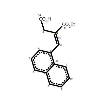 CCOC(=O)/C(=C/c1cccc2ccccc12)CC(=O)O